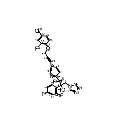 OC(Cn1cnnn1)(c1ccc(F)cc1F)C(F)(F)c1ccc(C#CCOc2ccc(Cl)cc2F)cn1